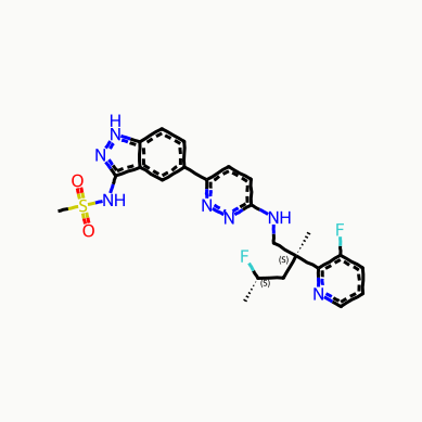 C[C@H](F)C[C@@](C)(CNc1ccc(-c2ccc3[nH]nc(NS(C)(=O)=O)c3c2)nn1)c1ncccc1F